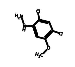 COc1cc(NN)c(Cl)cc1Cl